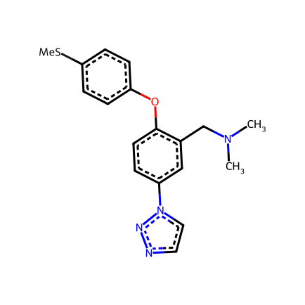 CSc1ccc(Oc2ccc(-n3ccnn3)cc2CN(C)C)cc1